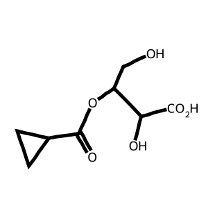 O=C(OC(CO)C(O)C(=O)O)C1CC1